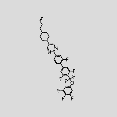 C=CCCC1CCC(c2cnc(-c3ccc(-c4cc(F)c(C(F)(F)Oc5cc(F)c(F)c(F)c5)c(F)c4)c(F)c3)nc2)CC1